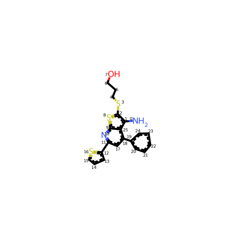 Nc1c(SCCCO)sc2nc(-c3cccs3)cc(-c3ccccc3)c12